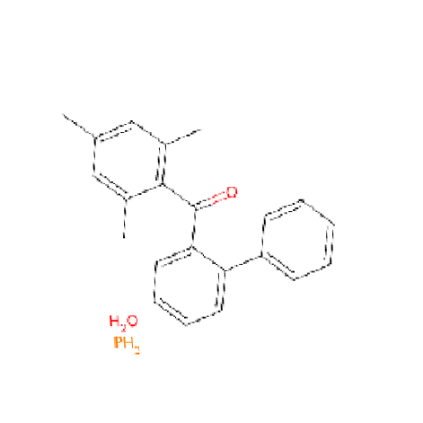 Cc1cc(C)c(C(=O)c2ccccc2-c2ccccc2)c(C)c1.O.P